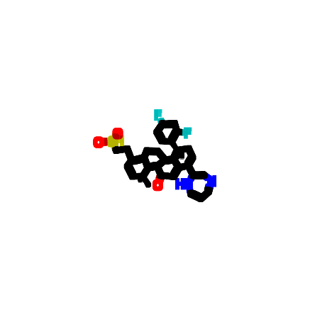 C[C@H]1C=CC(CC[SH](=O)=O)=c2ccc3c(c21)C(=O)C=C1C(C2=CN=CC=CN2)=CC[C@H](c2ccc(F)cc2F)C=31